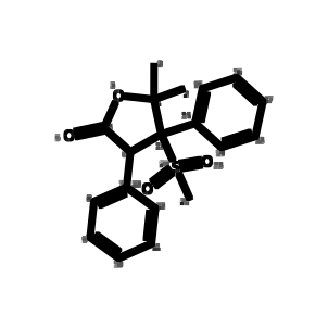 CC1(C)OC(=O)C(c2ccccc2)C1(c1ccccc1)S(C)(=O)=O